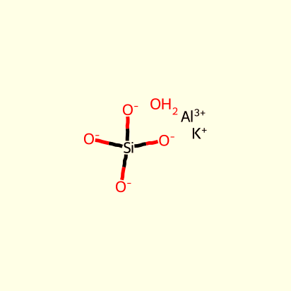 O.[Al+3].[K+].[O-][Si]([O-])([O-])[O-]